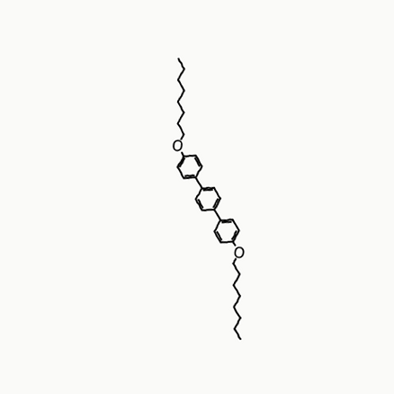 CCCCCCCCOc1ccc(-c2ccc(-c3ccc(OCCCCCCCC)cc3)cc2)cc1